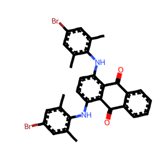 Cc1cc(Br)cc(C)c1Nc1ccc(Nc2c(C)cc(Br)cc2C)c2c1C(=O)c1ccccc1C2=O